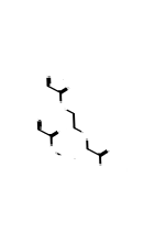 C=CC(=O)OCCCC.C=CC(=O)OCCOCC(=C)C(=O)OCC